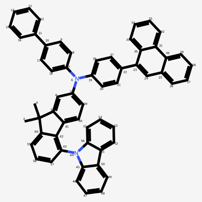 CC1(C)c2cc(N(c3ccc(-c4ccccc4)cc3)c3ccc(-c4cc5ccccc5c5ccccc45)cc3)ccc2-c2c(-n3c4ccccc4c4ccccc43)cccc21